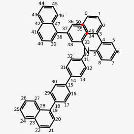 c1ccc(-c2ccccc2N(c2ccc(-c3ccc(-c4cccc5ccccc45)cc3)cc2)c2cccc(-c3cccc4ccccc34)c2)cc1